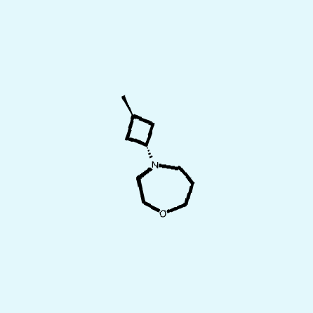 C[C@H]1C[C@H](N2CCCOCC2)C1